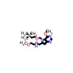 COCCNCc1cc2ncnc(OC)c2n1COCC[Si](C)(C)C